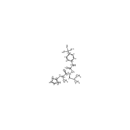 CC(C)C[C@H](OC(=O)Nc1ccc(C(F)(F)F)cc1)C(=O)N(C)Cc1nnc[nH]1